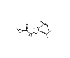 CC1=NC(C)C(C)=C2CC(NC(=O)C3CC3)CN12